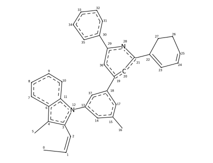 C/C=C\c1c(C)c2ccccc2n1-c1cc(C)cc(-c2cc(C3=CC=CCC3)nc(-c3ccccc3)c2)c1